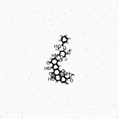 COC(=O)c1c(C)cc2c(c1O)[C@]1(O)C(=O)c3cc4c(c(O)c3C(=O)[C@]1(OC)[C@H](O)C2)C(=O)C=C(NC1O[C@@H](C)[C@H](OC)[C@@H](OCc2ccccc2)[C@H]1CO)C4=O